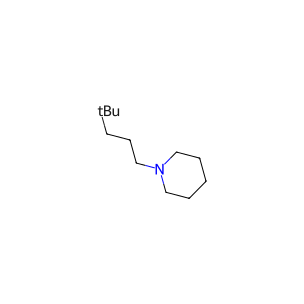 CC(C)(C)CCCN1CCCCC1